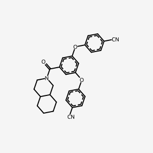 N#Cc1ccc(Oc2cc(Oc3ccc(C#N)cc3)cc(C(=O)N3CCC4CCCCC4C3)c2)cc1